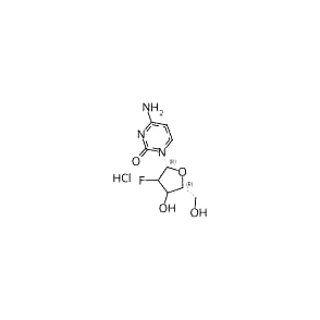 Cl.Nc1ccn([C@@H]2O[C@H](CO)C(O)C2F)c(=O)n1